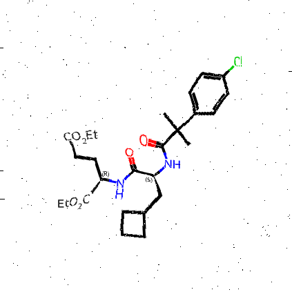 CCOC(=O)CC[C@@H](NC(=O)[C@H](CC1CCC1)NC(=O)C(C)(C)c1ccc(Cl)cc1)C(=O)OCC